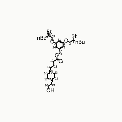 CCCCC(CC)COc1cc(COC(=O)CCCN2CCN(CCO)CC2)cc(OCC(CC)CCCC)c1